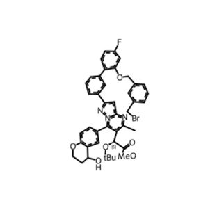 COC(=O)[C@@H](OC(C)(C)C)c1c(C)nc2cc(-c3cccc(-c4ccc(F)cc4OCc4cccc(CBr)c4)c3)nn2c1-c1ccc2c(c1)C(O)CCO2